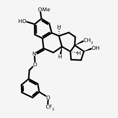 COc1cc2c(cc1O)/C(=N/OCc1cccc(OC(F)(F)F)c1)C[C@@H]1[C@@H]2CC[C@]2(C)[C@@H](O)CC[C@@H]12